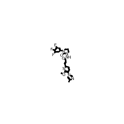 COc1nc(C=CC(=O)NN2CCCN(c3cc(F)c(F)c(F)c3)C2=O)ccc1-n1cnc(C)c1